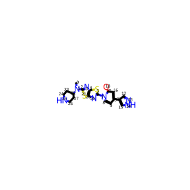 CN(c1nc2sc(-n3ccc(-c4cn[nH]c4)cc3=O)nc2s1)C1CCNCC1